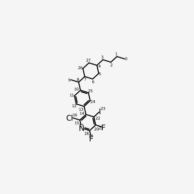 CCCCC1CCC(C(C)c2ccc(-c3c(Cl)nc(F)c(F)c3I)cc2)CC1